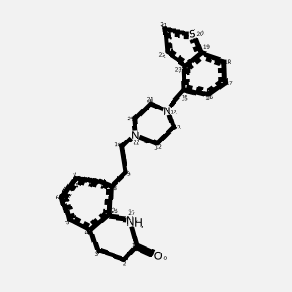 O=C1CCc2cccc(CCN3CCN(c4cccc5sccc45)CC3)c2N1